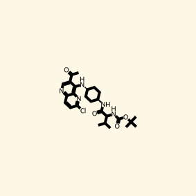 CC(=O)c1cnc2ccc(Cl)nc2c1N[C@H]1CC[C@H](NC(=O)C(NC(=O)OC(C)(C)C)C(C)C)CC1